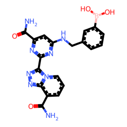 NC(=O)c1cc(NCc2cccc(B(O)O)c2)nc(-c2nnc3c(C(N)=O)cccn23)n1